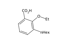 CCCCCCc1cccc(C(=O)O)c1OCC